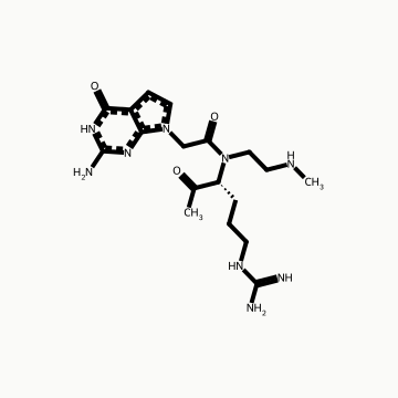 CNCCN(C(=O)Cn1ccc2c(=O)[nH]c(N)nc21)[C@H](CCCNC(=N)N)C(C)=O